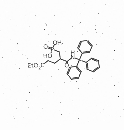 CCOC(=O)CCC(CP(=O)(O)O)C(=O)NC(c1ccccc1)(c1ccccc1)c1ccccc1